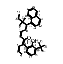 C\C=C/C(=C(O)\C=C/CC(c1cccc2ccccc12)C(C)(C)CC)c1cccc(C(C)(C)C)c1O